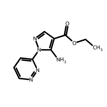 CCOC(=O)c1cnn(-c2cccnn2)c1N